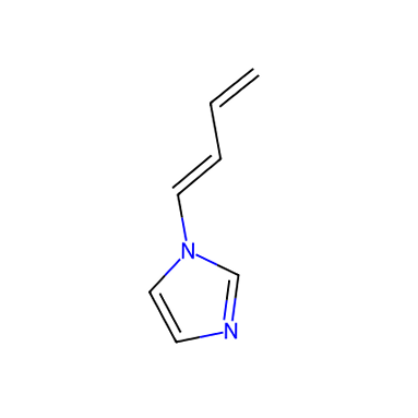 C=CC=Cn1ccnc1